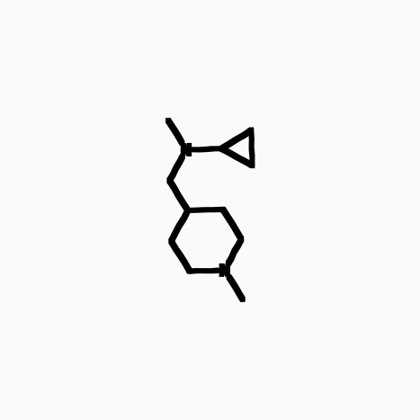 CN1CCC(CN(C)C2CC2)CC1